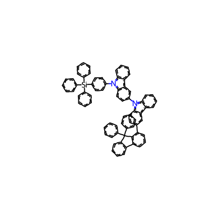 c1ccc(C2(c3ccccc3)c3ccccc3-c3cccc(-c4ccc5c(c4)c4ccccc4n5-c4ccc5c(c4)c4ccccc4n5-c4ccc([Si](c5ccccc5)(c5ccccc5)c5ccccc5)cc4)c32)cc1